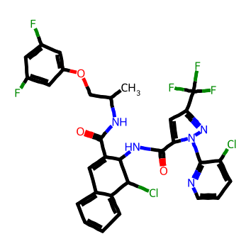 CC(COc1cc(F)cc(F)c1)NC(=O)C1=Cc2ccccc2C(Cl)C1NC(=O)c1cc(C(F)(F)F)nn1-c1ncccc1Cl